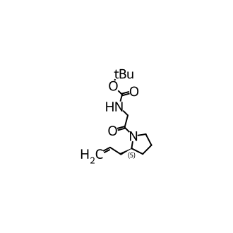 C=CC[C@@H]1CCCN1C(=O)CNC(=O)OC(C)(C)C